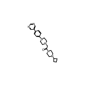 O=C(CN1CCN(c2ccc(-c3cncnc3)cc2)CC1)N1CCN(C2CCC2)CC1